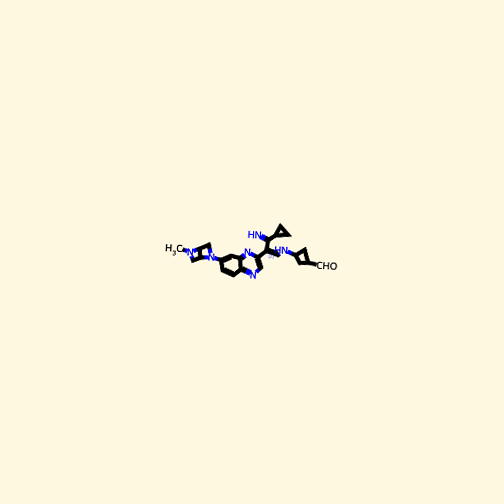 CN1CC2C1CN2c1ccc2ncc(/C(=C/NC3CC(C=O)C3)C(=N)C3CC3)nc2c1